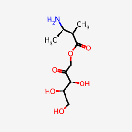 CC(C(=O)OCC(=O)[C@@H](O)[C@H](O)CO)[C@@H](C)N